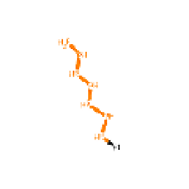 CCPPPPPPP